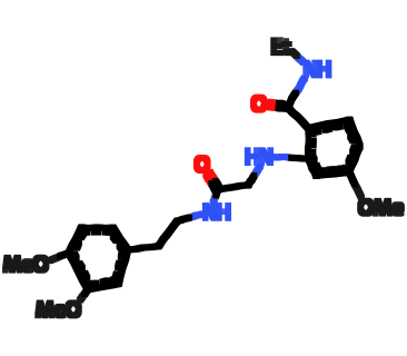 CCNC(=O)c1ccc(OC)cc1NCC(=O)NCCc1ccc(OC)c(OC)c1